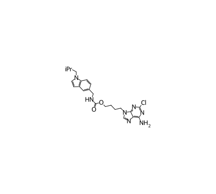 CC(C)Cn1ccc2cc(CNC(=O)OCCCCn3cnc4c(N)nc(Cl)nc43)ccc21